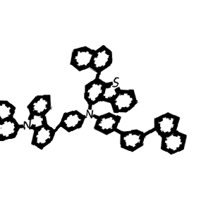 c1cc(-c2ccc(N(c3ccc(-c4cccc5c4c4ccccc4n5-c4cccc5ccccc45)cc3)c3ccc(-c4cccc5ccccc45)c4sc5ccccc5c34)cc2)cc(-c2cccc3ccccc23)c1